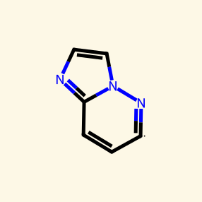 [c]1ccc2nccn2n1